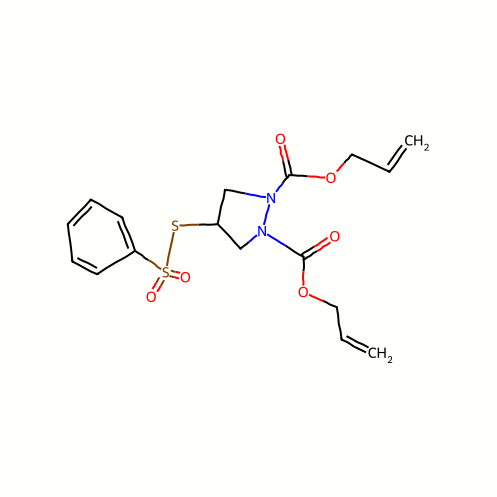 C=CCOC(=O)N1CC(SS(=O)(=O)c2ccccc2)CN1C(=O)OCC=C